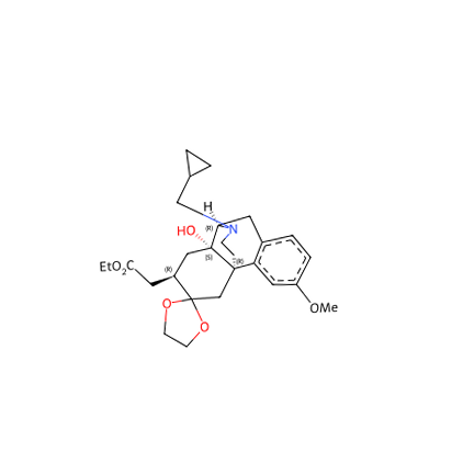 CCOC(=O)C[C@H]1C[C@@]2(O)[C@H]3Cc4ccc(OC)cc4[C@@]2(CCN3CC2CC2)CC12OCCO2